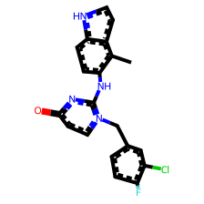 Cc1c(Nc2nc(=O)ccn2Cc2ccc(F)c(Cl)c2)ccc2[nH]ccc12